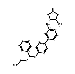 CNCC[C@@H](Oc1ccc(-c2ccnc(N[C@@H]3CNC[C@H]3O)n2)cc1)c1ccccc1